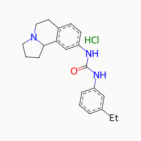 CCc1cccc(NC(=O)Nc2ccc3c(c2)C2CCCN2CC3)c1.Cl